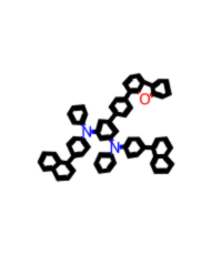 c1ccc(N(c2ccc(-c3cccc4ccccc34)cc2)c2cc(-c3ccc(-c4cccc5c4oc4ccccc45)cc3)cc(N(c3ccccc3)c3ccc(-c4cccc5ccccc45)cc3)c2)cc1